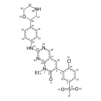 CCn1c(=O)c(-c2cc(S(C)(=O)=O)ccc2Cl)cc2cnc(Nc3ccc(C4CNCCO4)cc3)nc21